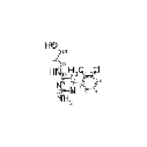 Cc1c(Cl)cccc1-c1cc(NCCCO)nc(N)n1